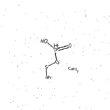 CCCSO[PH](=O)O.[CaH2]